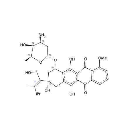 COc1cccc2c1C(=O)c1c(O)c3c(c(O)c1C2=O)C[C@@](O)(/C(CO)=C(/C)C(C)C)C[C@@H]3O[C@H]1C[C@H](N)[C@H](O)[C@H](C)O1